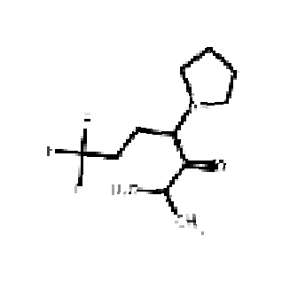 CC(C)C(=O)C(CCC(F)(F)F)N1CCCC1